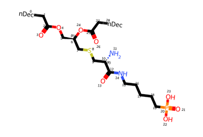 CCCCCCCCCCCC(=O)OC[C@H](CSC[C@H](N)C(=O)NCCCCCP(=O)(O)O)OC(=O)CCCCCCCCCCC